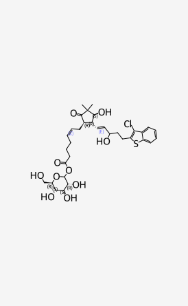 CC1(C)C(=O)[C@H](C/C=C\CCCC(=O)OC2O[C@H](CO)[C@@H](O)[C@H](O)[C@H]2O)[C@@H](/C=C/C(O)CCc2sc3ccccc3c2Cl)[C@@H]1O